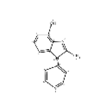 Cc1nc2c(O)cccc2n1-c1ccncc1